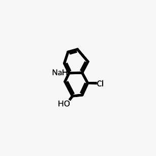 Oc1cc(Cl)c2ccccc2c1.[NaH]